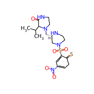 CC(C)C1C(=O)NCCN1C[C@H]1CN(S(=O)(=O)C2=CC([N+](=O)[O-])=CCC2=S)CCN1